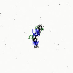 C=C(Nc1cnc(-c2cc3nn(C4CC4)nc3cc2Cl)cn1)c1c(F)cccc1F